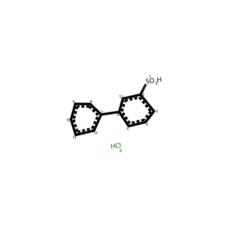 Cl.O=S(=O)(O)c1cccc(-c2ccccc2)c1